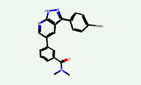 CNc1ccc(-c2n[nH]c3ncc(-c4cccc(C(=O)N(C)C)c4)cc23)cc1